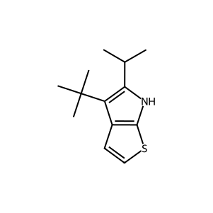 CC(C)c1[nH]c2sccc2c1C(C)(C)C